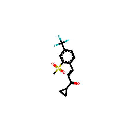 CS(=O)(=O)c1cc(C(F)(F)F)ccc1C=CC(=O)C1CC1